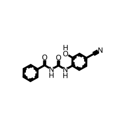 N#Cc1ccc(NC(=O)NC(=O)c2ccccc2)c(O)c1